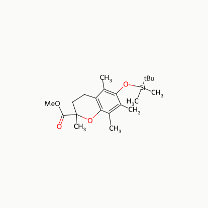 COC(=O)C1(C)CCc2c(C)c(O[Si](C)(C)C(C)(C)C)c(C)c(C)c2O1